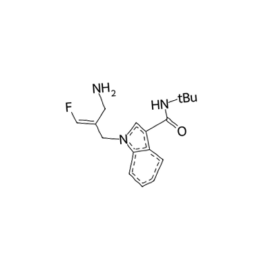 CC(C)(C)NC(=O)c1cn(CC(=CF)CN)c2ccccc12